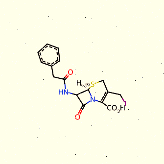 O=C(Cc1ccccc1)NC1C(=O)N2C(C(=O)O)=C(CI)CS[C@H]12